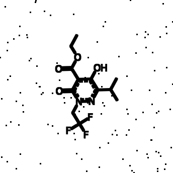 CCOC(=O)c1c(O)c(C(C)C)nn(CC(F)(F)F)c1=O